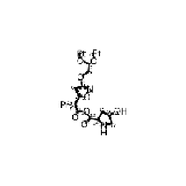 CCOC(COc1cc([C@@H](C(=O)OC(=O)C2CC(O)CN2)C(C)C)on1)OCC